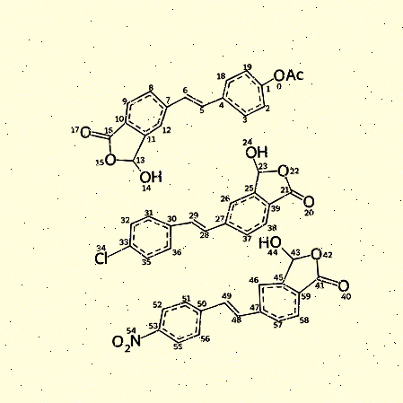 CC(=O)Oc1ccc(C=Cc2ccc3c(c2)C(O)OC3=O)cc1.O=C1OC(O)c2cc(C=Cc3ccc(Cl)cc3)ccc21.O=C1OC(O)c2cc(C=Cc3ccc([N+](=O)[O-])cc3)ccc21